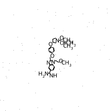 COCCn1c(COc2ccc(OC3CCN(C(=O)OC(C)(C)C)C3)cc2)nc2cc(C(=N)N)ccc21